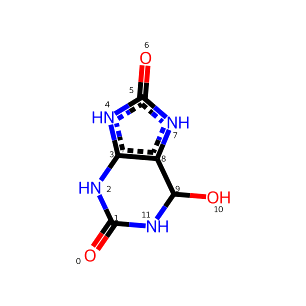 O=C1Nc2[nH]c(=O)[nH]c2C(O)N1